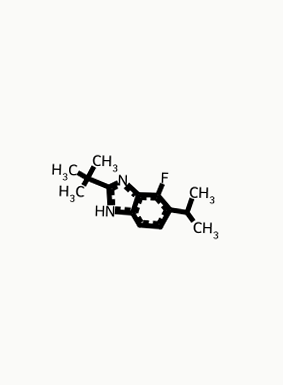 CC(C)c1ccc2[nH]c(C(C)(C)C)nc2c1F